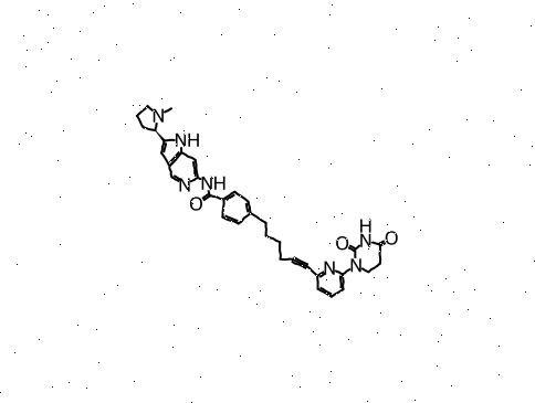 CN1CCC[C@@H]1c1cc2cnc(NC(=O)c3ccc(CCCCC#Cc4cccc(N5CCC(=O)NC5=O)n4)cc3)cc2[nH]1